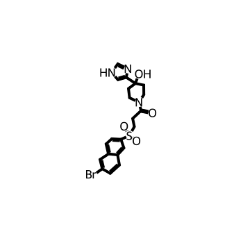 O=C(CCS(=O)(=O)c1ccc2cc(Br)ccc2c1)N1CCC(O)(c2c[nH]cn2)CC1